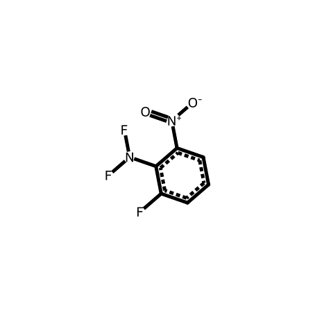 O=[N+]([O-])c1cccc(F)c1N(F)F